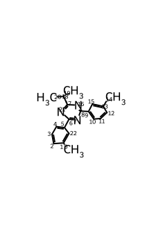 Cc1cccc(-c2nc(-c3cccc(C)c3)nc(C(C)C)n2)c1